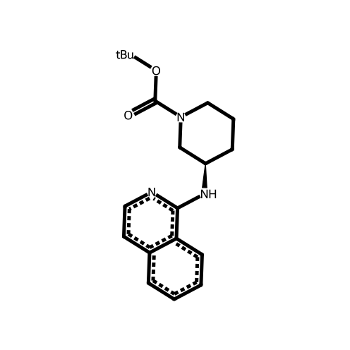 CC(C)(C)OC(=O)N1CCC[C@@H](Nc2nccc3ccccc23)C1